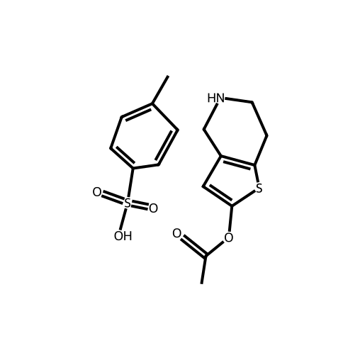 CC(=O)Oc1cc2c(s1)CCNC2.Cc1ccc(S(=O)(=O)O)cc1